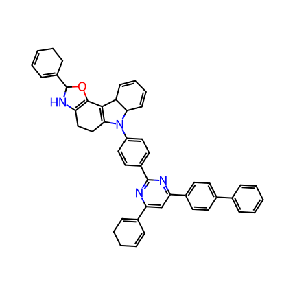 C1=CCCC(C2NC3=C(O2)C2=C(CC3)N(c3ccc(-c4nc(C5=CCCC=C5)cc(-c5ccc(-c6ccccc6)cc5)n4)cc3)C3C=CC=CC23)=C1